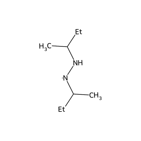 CCC(C)[N]NC(C)CC